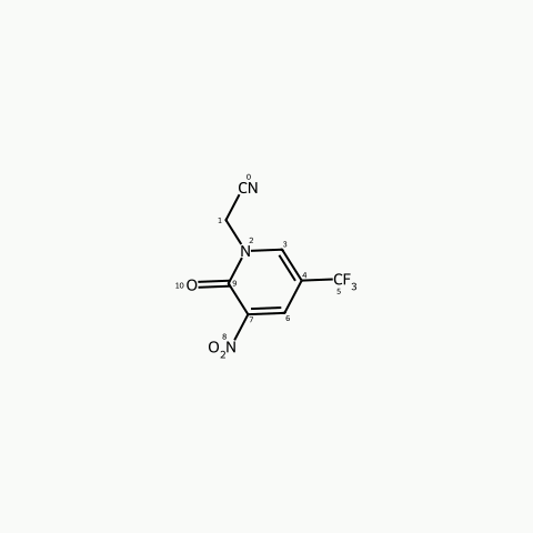 N#CCn1cc(C(F)(F)F)cc([N+](=O)[O-])c1=O